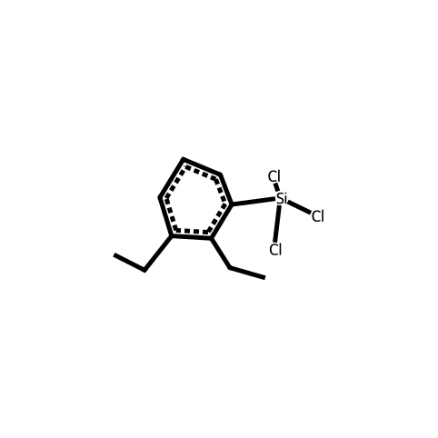 CCc1cccc([Si](Cl)(Cl)Cl)c1CC